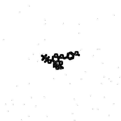 COc1ccc(CO[C@@H]2OCC(O[Si](C)(C)C(C)(C)C)[C@H](N)C2OC(C)=O)cc1